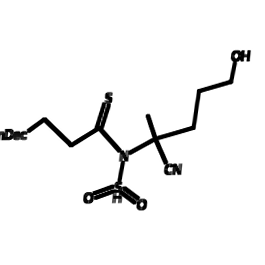 CCCCCCCCCCCCC(=S)N([SH](=O)=O)C(C)(C#N)CCCO